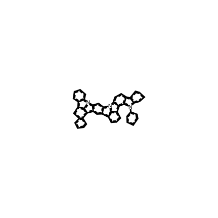 c1ccc(-n2c3ccccc3c3ccc4c(c5cccc6c7cc8c9c%10ccccc%10cc%10c%11ccccc%11n(c8cc7n4c65)c%109)c32)cc1